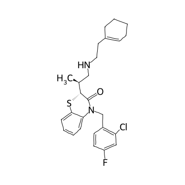 C[C@@H](CNCCC1=CCCCC1)[C@H]1Sc2ccccc2N(Cc2ccc(F)cc2Cl)C1=O